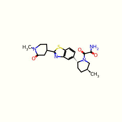 C[C@H]1CC[C@H](c2ccc3sc(C4CCN(C)C(=O)C4)nc3c2)N(C(=O)C(N)=O)C1